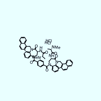 CN[C@@H](C)C(=O)N[C@H]1CN(C(=O)c2ccc(C(=O)N3C[C@H](NC(=O)[C@H](C)NC)C(=O)N(Cc4c(C)ccc5ccccc45)c4ccccc43)cc2)c2ccccc2N(Cc2c(C)ccc3ccccc23)C1=O.Cl.Cl